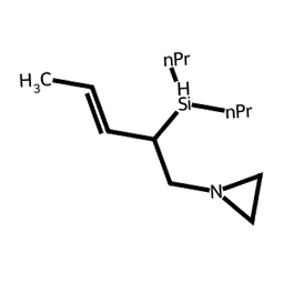 CC=CC(CN1CC1)[SiH](CCC)CCC